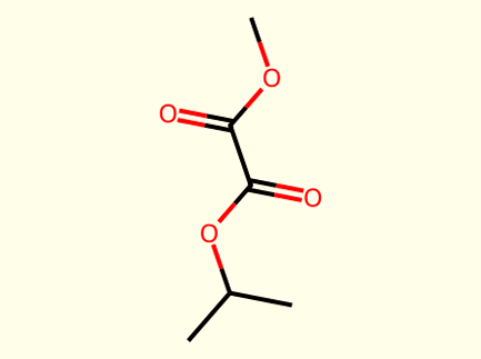 COC(=O)C(=O)OC(C)C